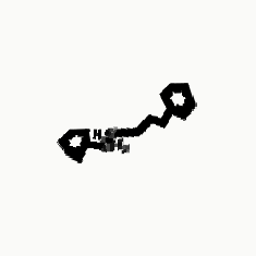 c1ccc(CCC[SiH2][SiH2]c2ccccc2)cc1